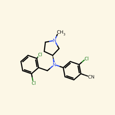 CN1CC[C@H](N(Cc2c(Cl)cccc2Cl)c2ccc(C#N)c(Cl)c2)C1